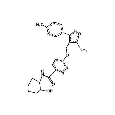 Cc1ccc(-c2noc(C)c2COc2ccc(C(=O)NC3CCCCC3O)nn2)cn1